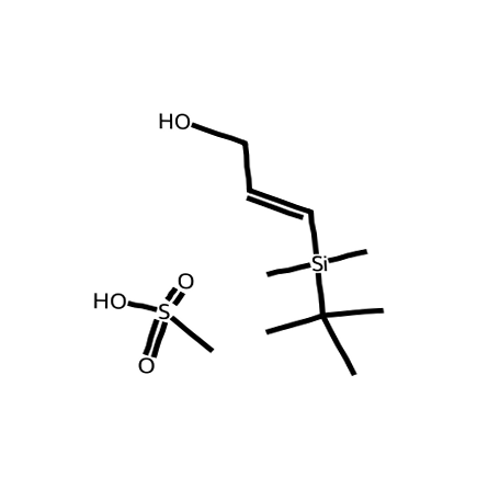 CC(C)(C)[Si](C)(C)C=CCO.CS(=O)(=O)O